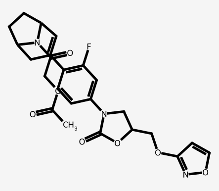 CC(=O)OCC(=O)N1C2C=C(c3ccc(N4CC(COc5ccon5)OC4=O)cc3F)CC1CC2